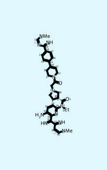 CCN(C(=O)[C@@H]1CCN(CC(=O)N2CC=C(c3ccc(C(=N)/N=C\NC)cc3)CC2)C1)c1ccc(N)c(C(=N)C(=N)/C=C\NC)n1